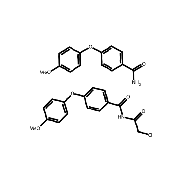 COc1ccc(Oc2ccc(C(=O)NC(=O)CCl)cc2)cc1.COc1ccc(Oc2ccc(C(N)=O)cc2)cc1